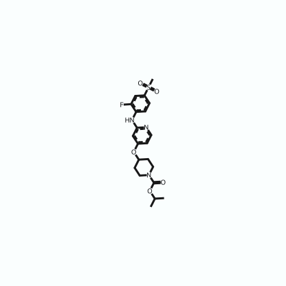 CC(C)OC(=O)N1CCC(Oc2ccnc(Nc3ccc(S(C)(=O)=O)cc3F)c2)CC1